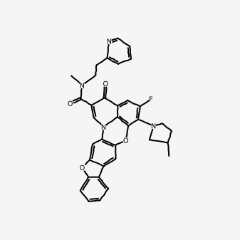 CC1CCN(c2c(F)cc3c(=O)c(C(=O)N(C)CCc4ccccn4)cn4c3c2Oc2cc3c(cc2-4)oc2ccccc23)C1